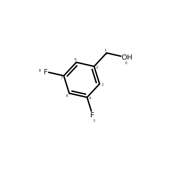 O[CH]c1cc(F)cc(F)c1